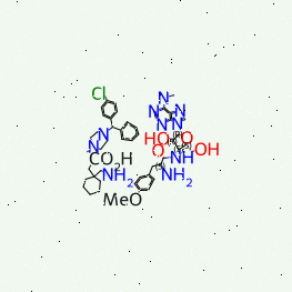 CN1CCN(C(c2ccccc2)c2ccc(Cl)cc2)CC1.COc1ccc(C[C@H](N)C(=O)N[C@H]2[C@@H](O)[C@H](n3cnc4c(N(C)C)ncnc43)O[C@@H]2CO)cc1.NCC1(CC(=O)O)CCCCC1